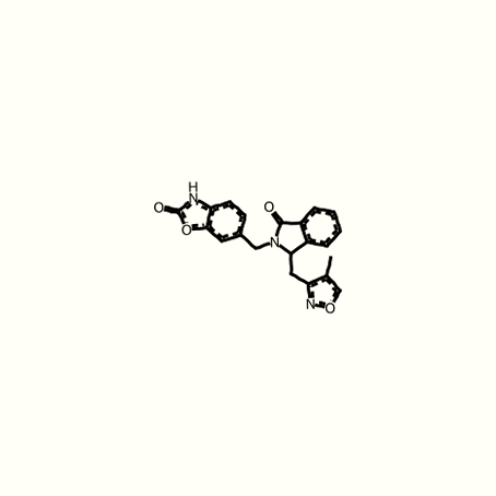 Cc1conc1CC1c2ccccc2C(=O)N1Cc1ccc2[nH]c(=O)oc2c1